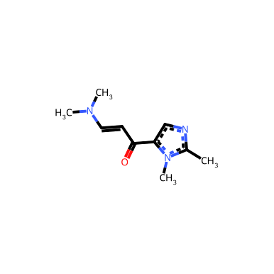 Cc1ncc(C(=O)/C=C/N(C)C)n1C